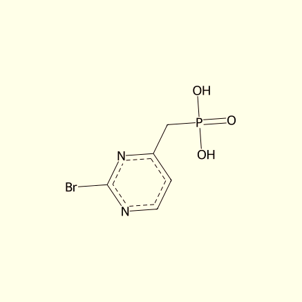 O=P(O)(O)Cc1ccnc(Br)n1